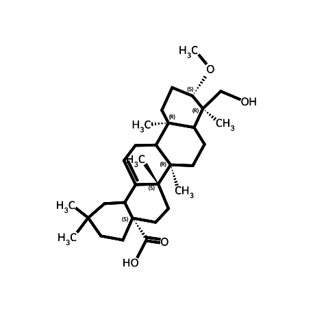 CO[C@H]1CC[C@@]2(C)C(CC[C@]3(C)C2CC=C2C4CC(C)(C)CC[C@]4(C(=O)O)CC[C@]23C)[C@]1(C)CO